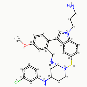 NCCCn1cc(-c2ccc(OC(F)(F)F)cc2CN)c2cc(SN3CCC(Nc4cccc(Cl)c4)CC3)ccc21